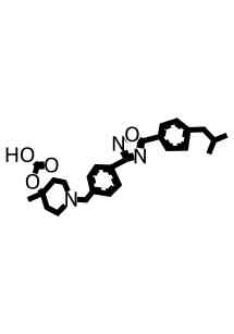 CC(C)Cc1ccc(-c2nc(-c3ccc(CN4CCC(C)(OC(=O)O)CC4)cc3)no2)cc1